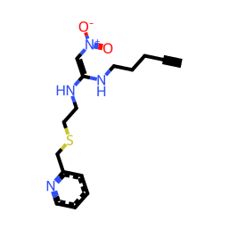 C#CCCCNC(=C[N+](=O)[O-])NCCSCc1ccccn1